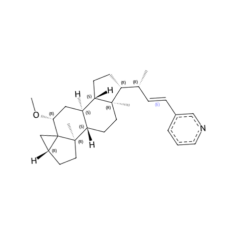 CO[C@@H]1C[C@H]2[C@@H]3CC[C@H]([C@H](C)/C=C/c4cccnc4)[C@@]3(C)CC[C@@H]2[C@@]2(C)CC[C@@H]3CC312